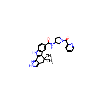 CC1(C)Cc2c[nH]nc2-c2[nH]c3ccc(C(=O)NC4CCN(C(=O)c5ccccn5)C4)cc3c21